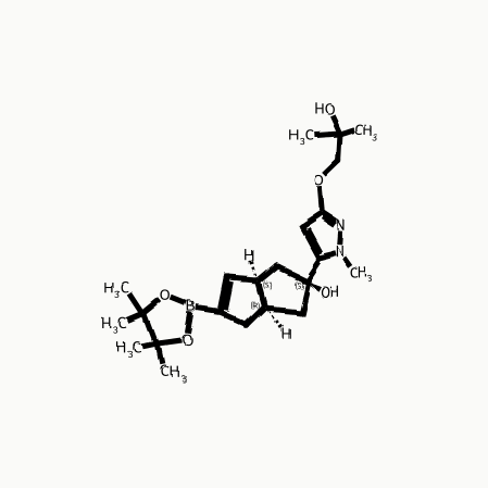 Cn1nc(OCC(C)(C)O)cc1[C@]1(O)C[C@H]2CC(B3OC(C)(C)C(C)(C)O3)=C[C@H]2C1